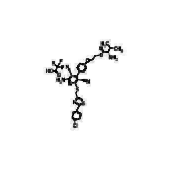 CC(C)[C@H](N)C(=O)OCCOc1ccc(-c2c(C#N)c(N)nc(SCc3csc(-c4ccc(Cl)cc4)n3)c2C#N)cc1.O=C(O)C(F)(F)F